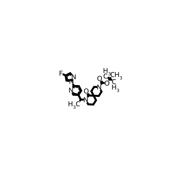 CC(c1ccc(-n2cc(F)cn2)nc1)N1CCCC2(CCN(C(=O)OC(C)(C)C)CC2)C1=O